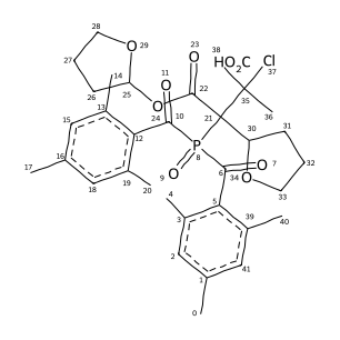 Cc1cc(C)c(C(=O)P(=O)(C(=O)c2c(C)cc(C)cc2C)C(C(=O)OC2CCCO2)(C2CCCO2)C(C)(Cl)C(=O)O)c(C)c1